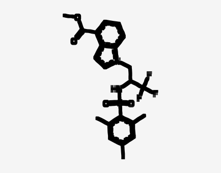 COC(=O)c1cccc2c1ccn2CC(NS(=O)(=O)c1c(C)cc(C)cc1C)C(F)(F)F